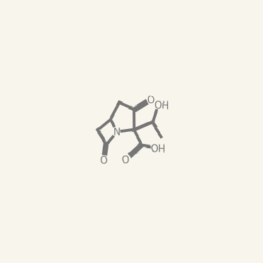 CC(O)C1(C(=O)O)C(=O)CC2CC(=O)N21